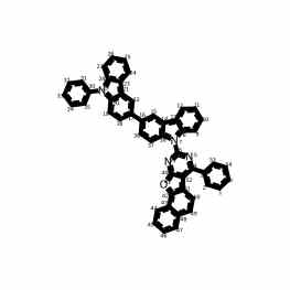 c1ccc(-c2nc(-n3c4ccccc4c4cc(-c5ccc6c(c5)c5ccccc5n6-c5ccccc5)ccc43)nc3oc4c5ccccc5ccc4c23)cc1